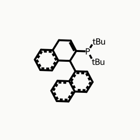 CC(C)(C)P(C1=CCc2ccccc2C1c1cccc2ccccc12)C(C)(C)C